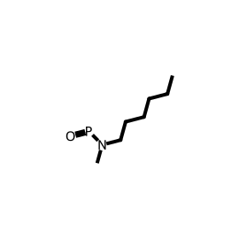 CCCCCCN(C)P=O